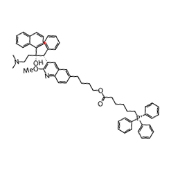 COc1nc2ccc(CCCCOC(=O)CCCCC[P+](c3ccccc3)(c3ccccc3)c3ccccc3)cc2cc1[C@@H](c1ccccc1)[C@@](O)(CCN(C)C)c1cccc2ccccc12